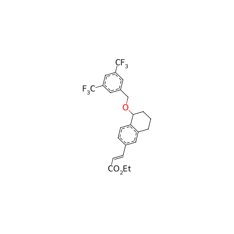 CCOC(=O)/C=C/c1ccc2c(c1)CCCC2OCc1cc(C(F)(F)F)cc(C(F)(F)F)c1